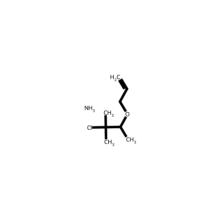 C=CCOC(C)C(C)(C)Cl.N